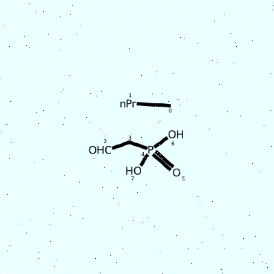 CCCC.O=CCP(=O)(O)O